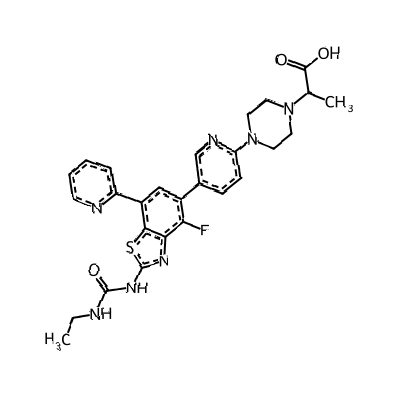 CCNC(=O)Nc1nc2c(F)c(-c3ccc(N4CCN(C(C)C(=O)O)CC4)nc3)cc(-c3ccccn3)c2s1